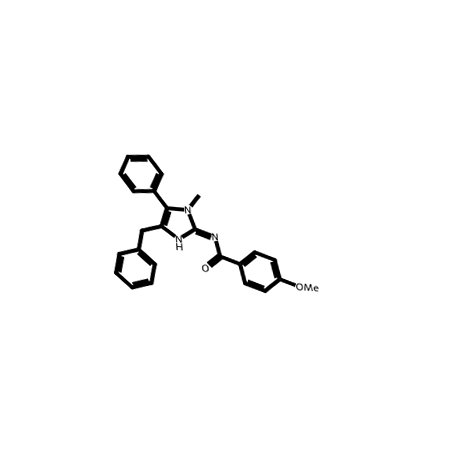 COc1ccc(C(=O)/N=c2\[nH]c(Cc3ccccc3)c(-c3ccccc3)n2C)cc1